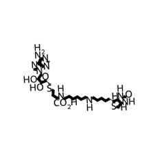 Nc1ncnc2c1ncn2[C@@H]1O[C@H](CSCC[C@H](NCCCCCCNCCCCC[C@H]2SC[C@H]3NC(=O)N[C@H]32)C(=O)O)[C@@H](O)[C@H]1O